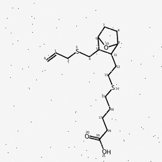 C=CCSCC1C2CCC(O2)C1CCSCCCCC(=O)O